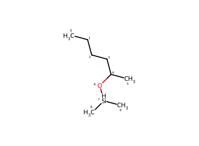 CCCCC(C)O[SiH](C)C